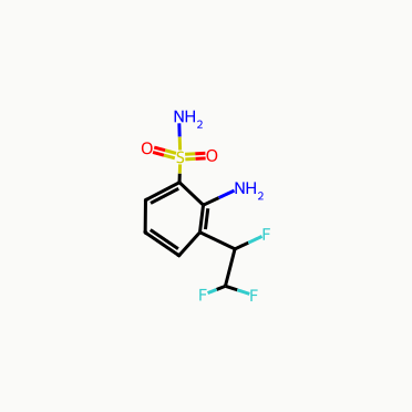 Nc1c(C(F)C(F)F)cccc1S(N)(=O)=O